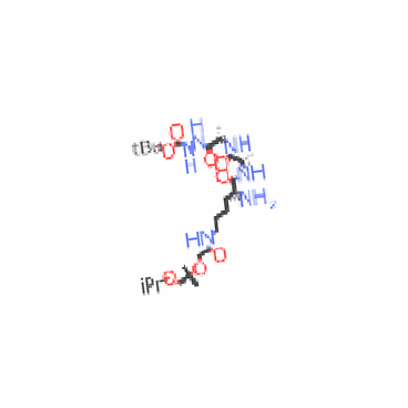 CC(C)OCC(C)(C)OCC(=O)NCCCC[C@H](N)C(=O)N[C@@H](C)C(=O)N[C@@H](C)C(=O)NNC(=O)OC(C)(C)C